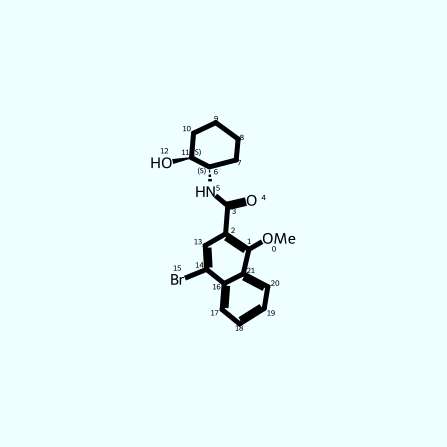 COc1c(C(=O)N[C@H]2CCCC[C@@H]2O)cc(Br)c2ccccc12